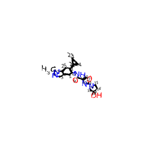 Cn1ncc2cc(NC(=O)c3coc(N4CC[C@H](O)C4)n3)c(C3CC3)cc21